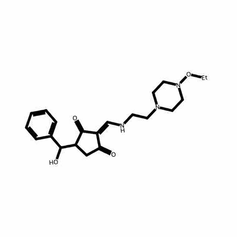 CCON1CCN(CCNC=C2C(=O)CC(C(O)c3ccccc3)C2=O)CC1